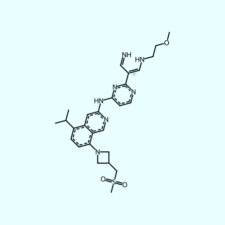 COCCN/C=C(\C=N)c1nccc(Nc2cc3c(C(C)C)ccc(N4CC(CS(C)(=O)=O)C4)c3cn2)n1